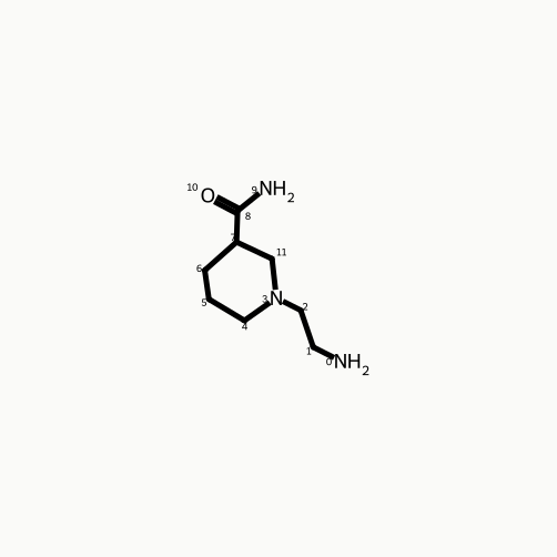 NCCN1CCCC(C(N)=O)C1